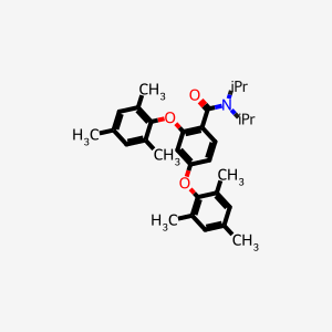 Cc1cc(C)c(Oc2ccc(C(=O)N(C(C)C)C(C)C)c(Oc3c(C)cc(C)cc3C)c2)c(C)c1